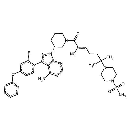 CC(C)(CC/C=C(\C#N)C(=O)N1CCC[C@@H](n2nc(-c3ccc(Oc4ccccc4)cc3F)c3c(N)ncnc32)C1)N1CCN(S(C)(=O)=O)CC1